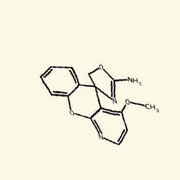 COc1ccnc2c1C1(COC(N)=N1)c1ccccc1O2